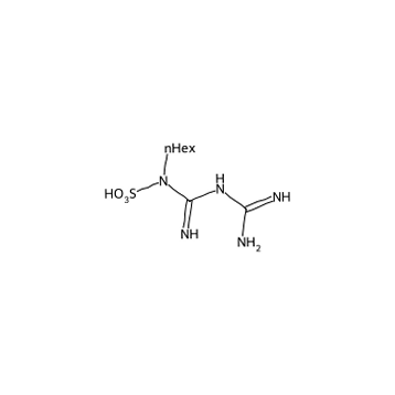 CCCCCCN(C(=N)NC(=N)N)S(=O)(=O)O